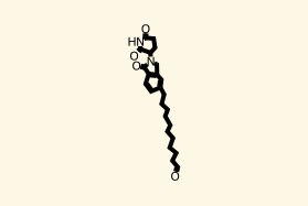 O=CCCCCCCCCCCc1ccc2c(c1)CN(C1CCC(=O)NC1=O)C2=O